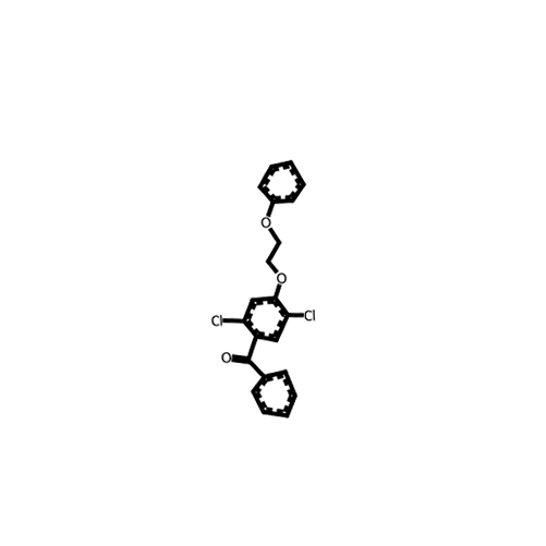 O=C(c1ccccc1)c1cc(Cl)c(OCCOc2ccccc2)cc1Cl